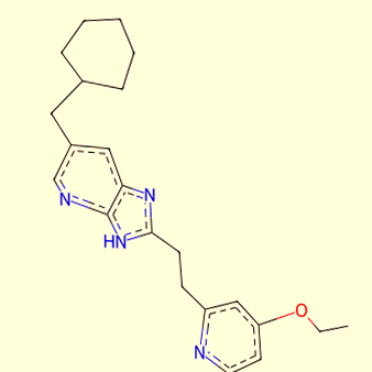 CCOc1ccnc(CCc2nc3cc(CC4CCCCC4)cnc3[nH]2)c1